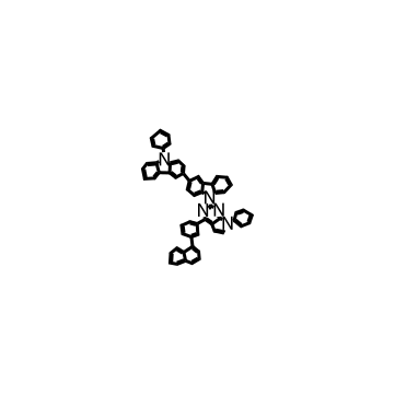 c1ccc(-n2ccc3c(-c4cccc(-c5cccc6ccccc56)c4)nc(-n4c5ccccc5c5cc(-c6ccc7c(c6)c6ccccc6n7-c6ccccc6)ccc54)nc32)cc1